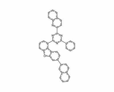 c1ccc(-c2nc(-c3ccc4ccccc4n3)nc(-c3cccc4oc5cc(-c6ccc7ccccc7c6)ccc5c34)n2)cc1